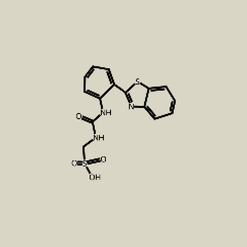 O=C(NCS(=O)(=O)O)Nc1ccccc1-c1nc2ccccc2s1